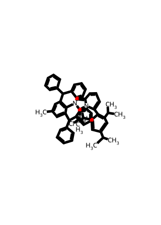 Cc1cc(C(c2ccccc2)c2ccccc2)c(N2C=C3C=CC=C(c4c(C(C)C)cc(C(C)C)cc4C(C)C)N3[CH]2[AgH][Cl])c(C(c2ccccc2)c2ccccc2)c1